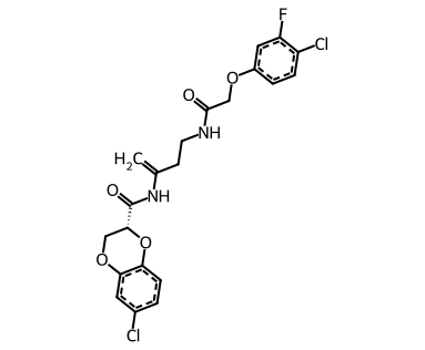 C=C(CCNC(=O)COc1ccc(Cl)c(F)c1)NC(=O)[C@H]1COc2cc(Cl)ccc2O1